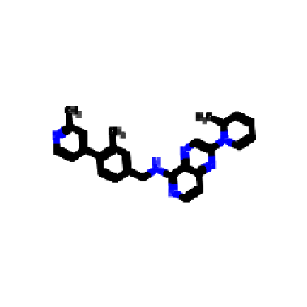 Cc1cc(-c2ccc(CNc3nccc4nc(N5C=CC=CC5C)cnc34)cc2C)ccn1